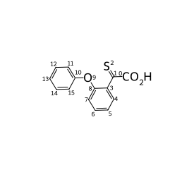 O=C(O)C(=S)c1ccccc1Oc1ccccc1